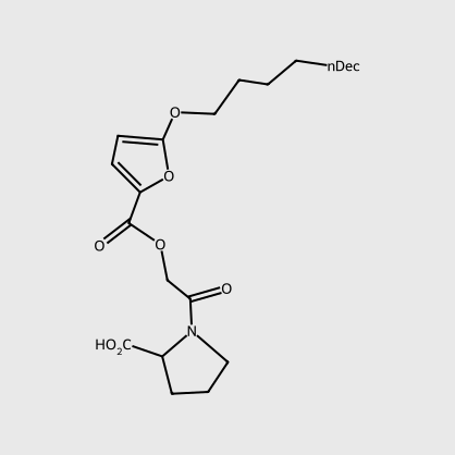 CCCCCCCCCCCCCCOc1ccc(C(=O)OCC(=O)N2CCCC2C(=O)O)o1